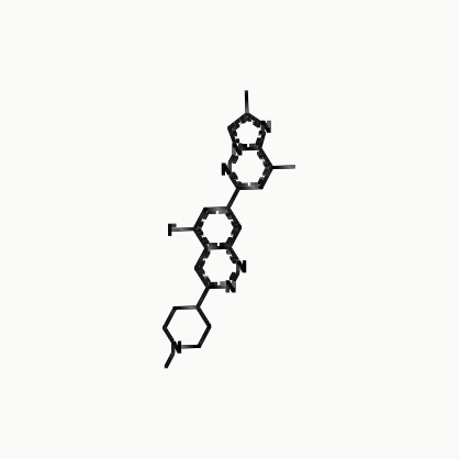 Cc1cn2nc(-c3cc(F)c4cc(C5CCN(C)CC5)nnc4c3)cc(C)c2n1